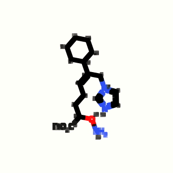 CCOC(=O)C(CCC=C(Cn1ccnc1)C1CCCCC1)ON